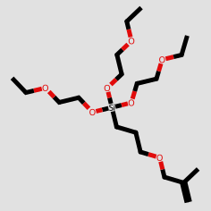 C=C(C)COCCC[Si](OCCOCC)(OCCOCC)OCCOCC